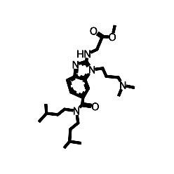 COC(=O)CNc1nc2ccc(C(=O)N(CCC(C)C)CCC(C)C)cc2n1CCCN(C)C